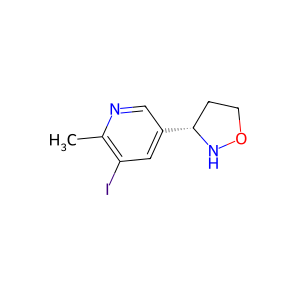 Cc1ncc([C@@H]2CCON2)cc1I